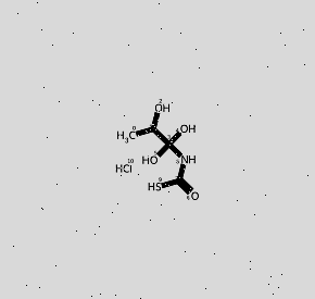 CC(O)C(O)(O)NC(=O)S.Cl